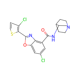 O=C(NC1CN2CCC1CC2)c1cc(Cl)cc2oc(-c3sccc3Cl)nc12